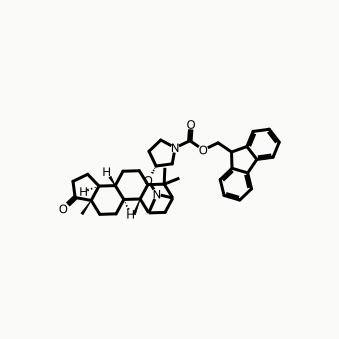 CC1(C)C2CC(N2O[C@@H]2CCN(C(=O)OCC3c4ccccc4-c4ccccc43)C2)[C@@]2(C)C1CC[C@@H]1[C@@H]2CC[C@]2(C)C(=O)CC[C@@H]12